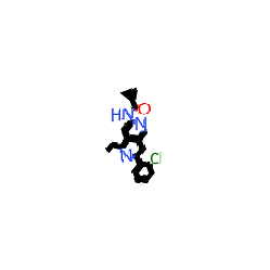 CCC1=NC(c2ccccc2Cl)Cc2cnc(NC(=O)C3CC3)cc21